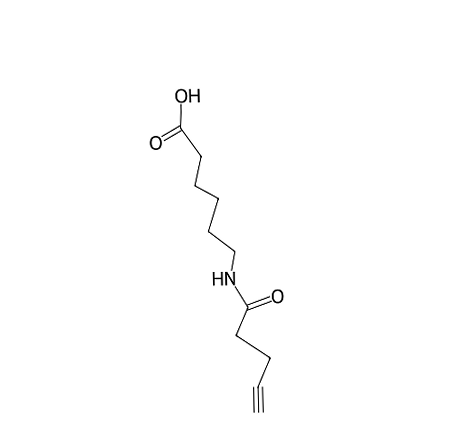 C#CCCC(=O)NCCCCCC(=O)O